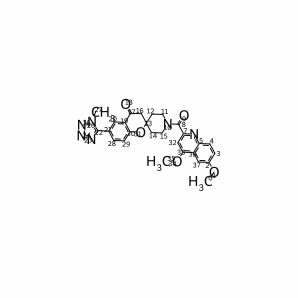 COc1ccc2nc(C(=O)N3CCC4(CC3)CC(=O)c3cc(-c5nnnn5C)ccc3O4)cc(OC)c2c1